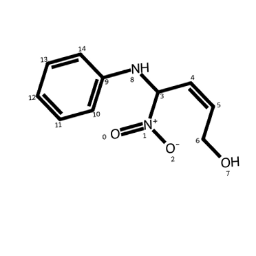 O=[N+]([O-])C(/C=C\CO)Nc1ccccc1